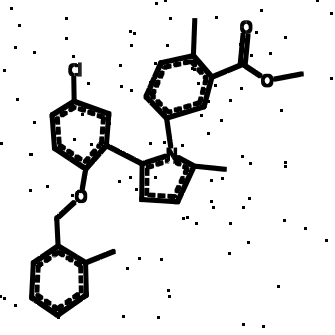 COC(=O)c1cc(-n2c(C)ccc2-c2cc(Cl)ccc2OCc2ccccc2C)ccc1C